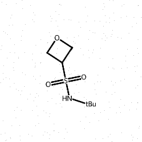 CC(C)(C)NS(=O)(=O)C1COC1